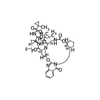 CC(C)(C)[C@@H]1NC(=O)O[C@@H]2CCC[C@H]2CCCCCn2c(nc3ccccc3c2=O)O[C@@H]2C[C@@H](C(=O)N[C@]3(C(=O)NS(=O)(=O)C4(C)CC4)C[C@H]3C(F)F)N(C2)C1=O